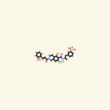 CC(Cc1cccc(S(C)(=O)=O)c1)NC(=O)c1c(Cl)cc2c(c1Cl)CCN(C(=O)/C=C/c1ccccc1O)C2